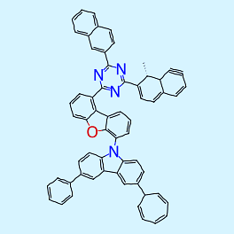 C[C@H]1C(c2nc(-c3ccc4ccccc4c3)nc(-c3cccc4oc5c(-n6c7ccc(-c8ccccc8)cc7c7cc(C8C=CC=CC=C8)ccc76)cccc5c34)n2)=CC=C2C=CC#CC21